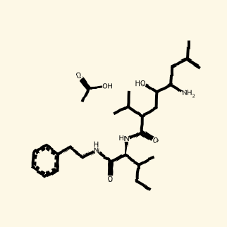 CC(=O)O.CCC(C)[C@H](NC(=O)C(CC(O)C(N)CC(C)C)C(C)C)C(=O)NCCc1ccccc1